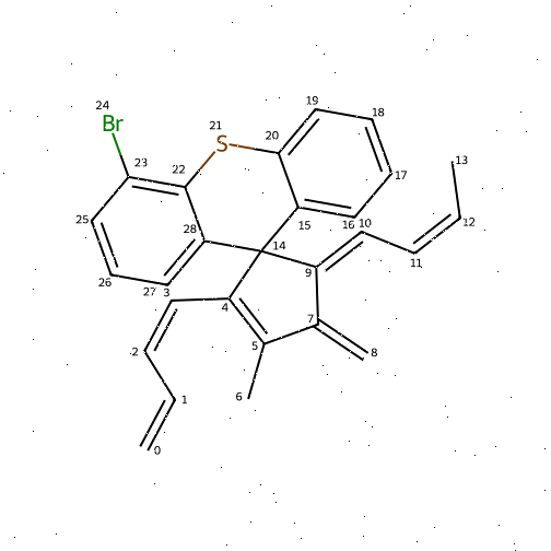 C=C/C=C\C1=C(C)C(=C)/C(=C\C=C/C)C12c1ccccc1Sc1c(Br)cccc12